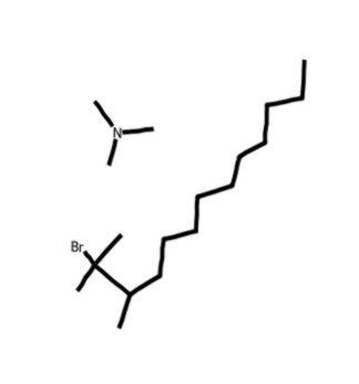 CCCCCCCCCCC(C)C(C)(C)Br.CN(C)C